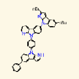 CCCCC1=NC2C(=C1)c1cc(CCCC)ccc1N2c1ccc2c(c1)c1cccnc1n2-c1ccc(-n2c3ccc(-c4ccccc4)cc3c3cc[nH]c32)cc1